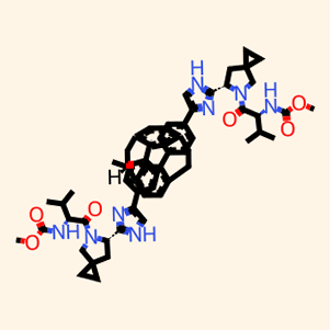 COC(=O)N[C@H](C(=O)N1CC2(CC2)C[C@H]1c1nc(-c2ccc(-c3cc4ccc3CCc3ccc(c(-c5ccc(-c6c[nH]c([C@@H]7CC8(CC8)CN7C(=O)[C@@H](NC(=O)OC)C(C)C)n6)cc5)c3)C[C@H]4C)cc2)c[nH]1)C(C)C